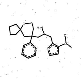 C[S+]([O-])c1ccsc1CC(N)CC1(c2ccccn2)CCOC2(CCCC2)C1